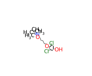 C/C(=N\OCCCCCOc1c(Cl)cc(O)cc1Cl)C(C)(C)C